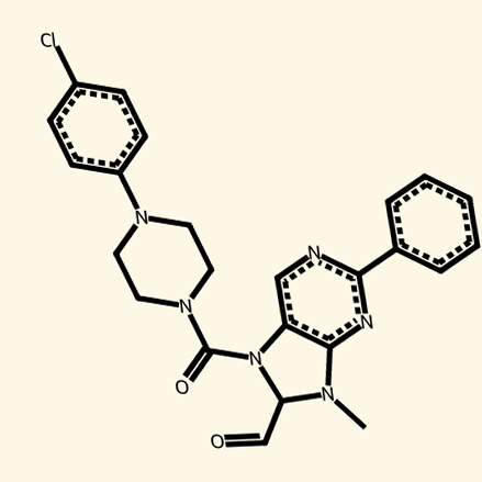 CN1c2nc(-c3ccccc3)ncc2N(C(=O)N2CCN(c3ccc(Cl)cc3)CC2)C1C=O